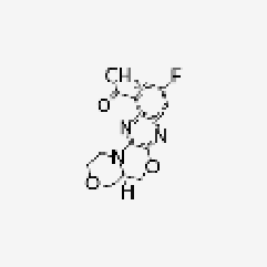 CC(=O)c1cc(F)cc2nc3c(nc12)N1CCOC[C@H]1CO3